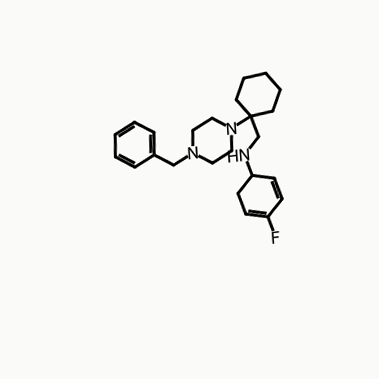 FC1=CCC(NCC2(N3CCN(Cc4ccccc4)CC3)CCCCC2)C=C1